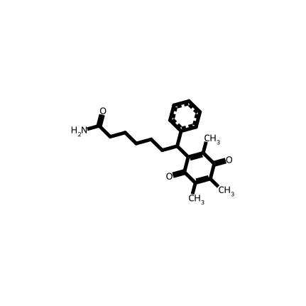 CC1=C(C)C(=O)C(C(CCCCCC(N)=O)c2ccccc2)=C(C)C1=O